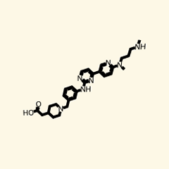 CNCCCN(C)c1ccc(-c2ccnc(Nc3cccc(CN4CCC(CC(=O)O)CC4)c3)n2)cn1